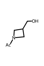 CC(=O)N1CC(CO)C1